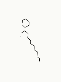 CCCCCCCCCCC(CC)C1CCCCC1